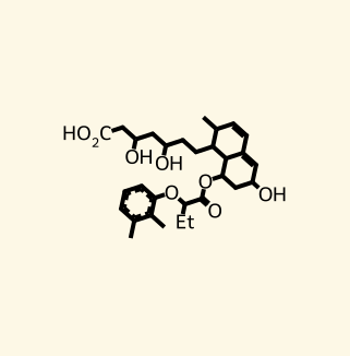 CCC(Oc1cccc(C)c1C)C(=O)OC1CC(O)C=C2C=CC(C)C(CCC(O)CC(O)CC(=O)O)C21